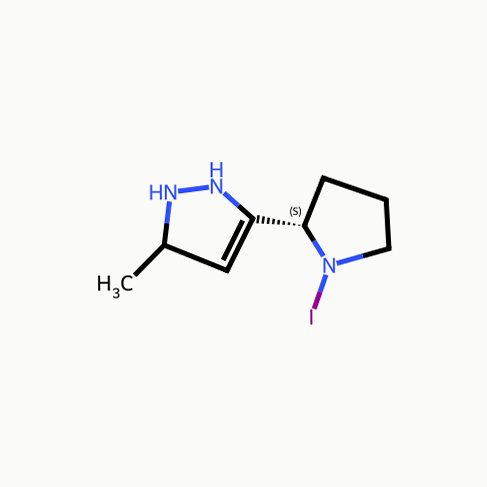 CC1C=C([C@@H]2CCCN2I)NN1